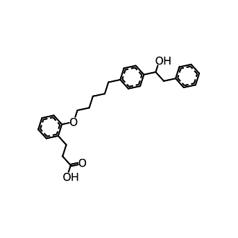 O=C(O)CCc1ccccc1OCCCCCc1ccc(C(O)Cc2ccccc2)cc1